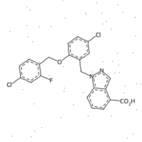 O=C(O)c1cccc2c1cnn2Cc1cc(Cl)ccc1OCc1ccc(Cl)cc1F